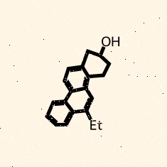 CCc1cc2c3c(ccc2c2ccccc12)CC(O)CC3